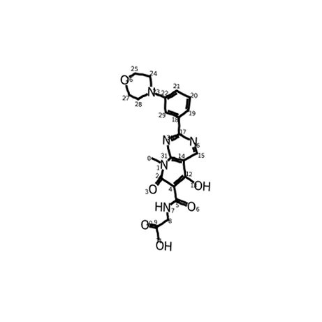 Cn1c(=O)c(C(=O)NCC(=O)O)c(O)c2cnc(-c3cccc(N4CCOCC4)c3)nc21